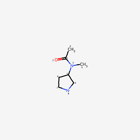 CC(=O)N(C)C1CC[N]C1